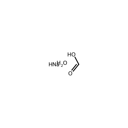 O.O=CO.[NaH]